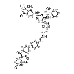 CC1(C)OC(=O)c2ccc(Nc3ncc(-c4nnc(CCNCCN5CCN(c6ccc7c(c6)C(=O)N(C6CCC(=O)NC6=O)C7=O)CC5)o4)c(N[C@H](CO)c4ccccc4)n3)cc21